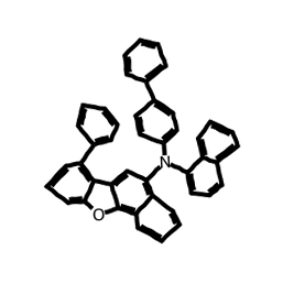 c1ccc(-c2ccc(N(c3cccc4ccccc34)c3cc4c(oc5cccc(-c6ccccc6)c54)c4ccccc34)cc2)cc1